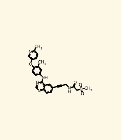 Cc1ccc(Oc2ccc(Nc3ncnc4ccc(C#CCNC(=O)CS(C)(=O)=O)cc34)cc2C)cn1